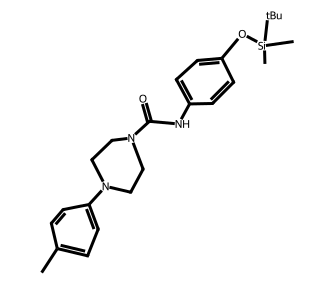 Cc1ccc(N2CCN(C(=O)Nc3ccc(O[Si](C)(C)C(C)(C)C)cc3)CC2)cc1